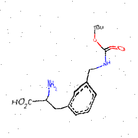 CC(C)(C)OC(=O)NCc1cccc(CC(N)C(=O)O)c1